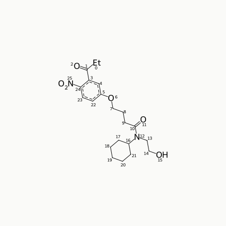 CCC(=O)c1cc(OCCCC(=O)N(CCO)C2CCCCC2)ccc1[N+](=O)[O-]